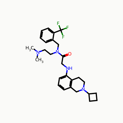 CN(C)CCN(Cc1ccccc1C(F)(F)F)C(=O)CNc1cccc2c1CCN(C1CCC1)C2